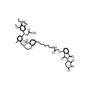 CCn1nnc2cc([C@@H](CC(=O)O)c3ccc(C)c(CN4C[C@@H](C)Oc5cc(CCCCCCNC(=O)COc6cccc7c6C(=O)N(C6CCC(=O)NC6=O)C7=O)ccc5S4(=O)=O)c3)cc(OC)c21